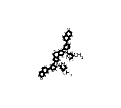 Cc1ccnc(-n2c3c(c4cc5c(cc42)-c2cc4c(cc2CC5)c2cc(-c5ccc6ccccc6c5)ccc2n4-c2cc(C)ccn2)C=C(c2ccc4ccccc4c2)CC3)c1